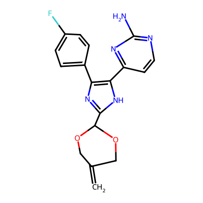 C=C1COC(c2nc(-c3ccc(F)cc3)c(-c3ccnc(N)n3)[nH]2)OC1